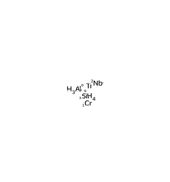 [AlH3].[Cr].[Nb].[SiH4].[Ti]